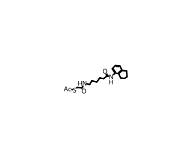 CC(=O)SCC(=O)NCCCCCC(=O)Nc1cccc2c1CCCC2